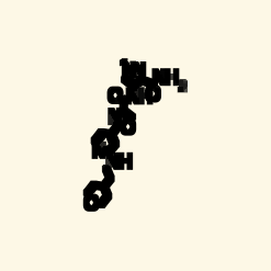 Cn1cc(NC(=O)c2coc(-c3ccnc(NCCC4CCOCC4)c3)n2)c(C(N)=O)n1